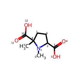 CN1C(C(=O)O)CCC1(C)C(=O)O